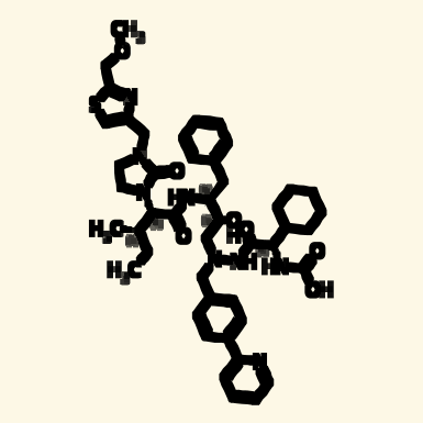 CC[C@H](C)[C@@H](C(=O)N[C@@H](Cc1ccccc1)[C@@H](O)CN(Cc1ccc(-c2ccccn2)cc1)NC(=O)[C@@H](NC(=O)O)C1CCCCC1)N1CCN(Cc2csc(COC)n2)C1=O